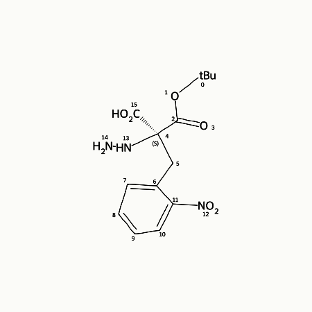 CC(C)(C)OC(=O)[C@@](Cc1ccccc1[N+](=O)[O-])(NN)C(=O)O